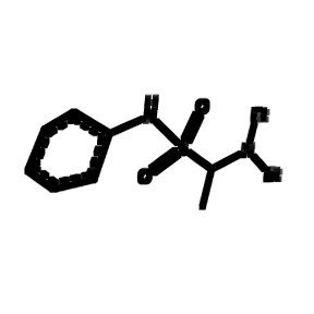 CCN(CC)C(C)S(=O)(=O)Nc1ccccc1